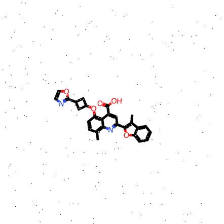 Cc1c(-c2cc(C(=O)O)c3c(OC4CC(c5ncco5)C4)ccc(C)c3n2)oc2ccccc12